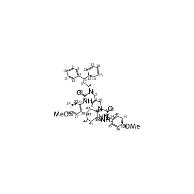 C=C(CN(CCC(c1ccccc1)c1ccccc1)C(=O)Nc1ccc(OC)cc1)CN(C(=O)Nc1ccc(OC)cc1)[C@@H]1CCCC[C@H]1N